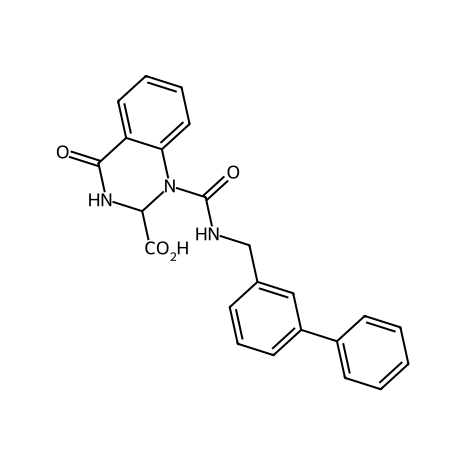 O=C1NC(C(=O)O)N(C(=O)NCc2cccc(-c3ccccc3)c2)c2ccccc21